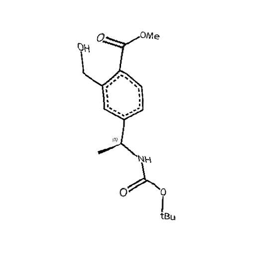 COC(=O)c1ccc([C@H](C)NC(=O)OC(C)(C)C)cc1CO